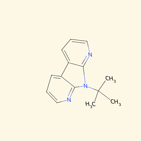 CC(C)(C)n1c2ncccc2c2cccnc21